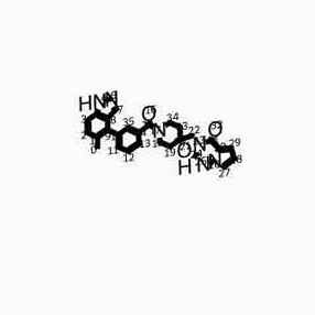 Cc1ccc2[nH]ncc2c1-c1cccc(C(=O)N2CCC(O)(Cn3cnn4cccc4c3=O)CC2)c1